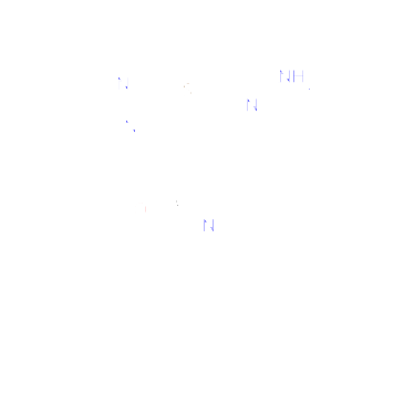 Cc1ccccc1CN1C(=O)C(c2nncs2)=C2C1=CC=CC2=NN